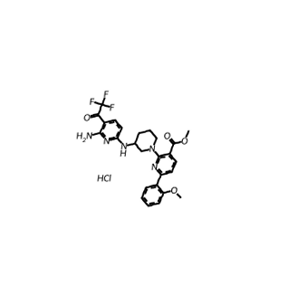 COC(=O)c1ccc(-c2ccccc2OC)nc1N1CCCC(Nc2ccc(C(=O)C(F)(F)F)c(N)n2)C1.Cl